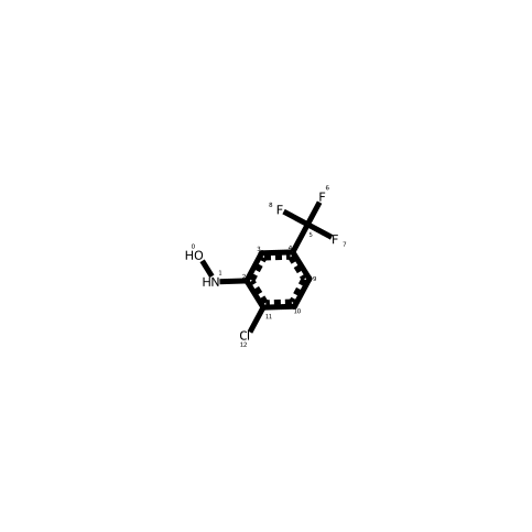 ONc1cc(C(F)(F)F)ccc1Cl